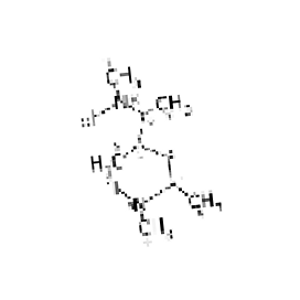 CC(CC(C)N(C)I)C(C)N(C)I